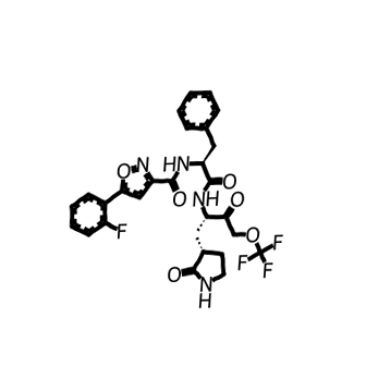 O=C(N[C@@H](Cc1ccccc1)C(=O)N[C@@H](C[C@@H]1CCNC1=O)C(=O)COC(F)(F)F)c1cc(-c2ccccc2F)on1